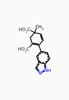 CC1(C(=O)O)C=CC(c2ccc3[nH]ncc3c2)=C(C(=O)O)C1